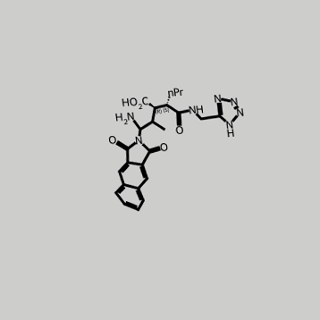 CCC[C@H](C(=O)NCc1nnn[nH]1)[C@H](C(=O)O)C(C)C(N)N1C(=O)c2cc3ccccc3cc2C1=O